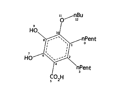 CCCCCc1c(CCCCC)c(C(=O)O)c(O)c(O)c1OCCCC